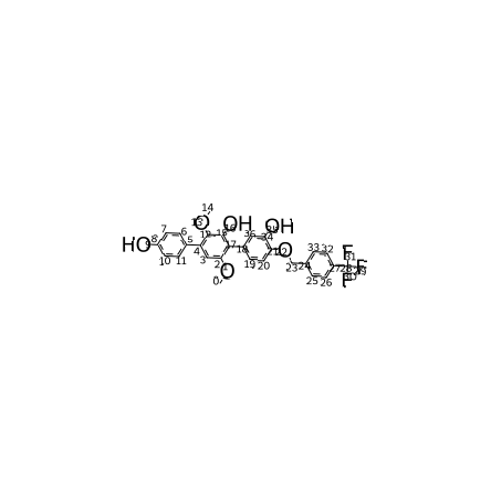 COc1cc(-c2ccc(O)cc2)c(OC)c(O)c1-c1ccc(OCc2ccc(C(F)(F)F)cc2)c(O)c1